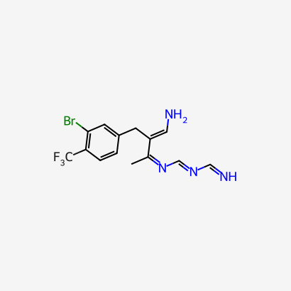 CC(=N/C=N/C=N)/C(=C/N)Cc1ccc(C(F)(F)F)c(Br)c1